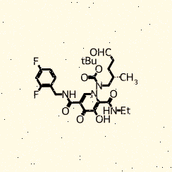 CCNC(=O)c1c(O)c(=O)c(C(=O)NCc2ccc(F)cc2F)cn1N(C[C@@H](C)CCC=O)C(=O)OC(C)(C)C